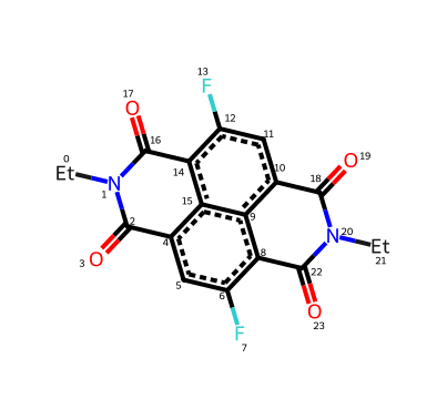 CCN1C(=O)c2cc(F)c3c4c(cc(F)c(c24)C1=O)C(=O)N(CC)C3=O